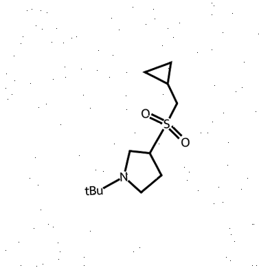 CC(C)(C)N1CCC(S(=O)(=O)CC2CC2)C1